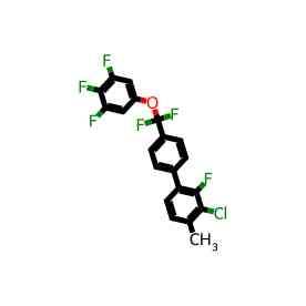 Cc1ccc(-c2ccc(C(F)(F)Oc3cc(F)c(F)c(F)c3)cc2)c(F)c1Cl